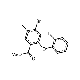 COC(=O)c1cc(C)c(Br)cc1Oc1ccccc1F